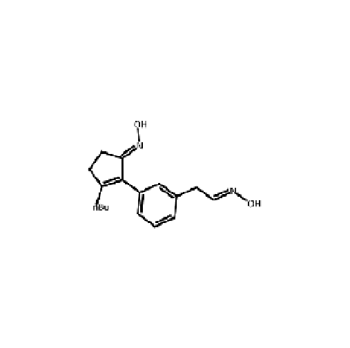 CCCCC1=C(c2cccc(CC=NO)c2)C(=NO)CC1